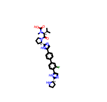 CC(C)[C@@H](C(=O)N1CCC[C@H]1c1ncc(-c2ccc(-c3ccc(-c4cnc([C@@H]5CCCN5)[nH]4)c(F)c3)cc2)[nH]1)N(C)C(=O)O